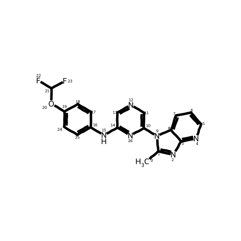 Cc1nc2ncccc2n1-c1cncc(Nc2ccc(OC(F)F)cc2)n1